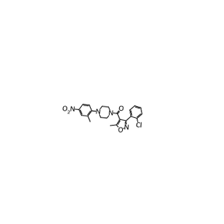 Cc1cc([N+](=O)[O-])ccc1N1CCN(C(=O)c2c(-c3ccccc3Cl)noc2C)CC1